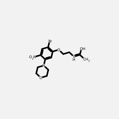 CC(O)=[SH]CCOc1cc(N2CCOCC2)c([N+](=O)[O-])cc1Br